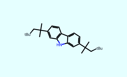 CC(C)(C)CC(C)(C)c1ccc2c(c1)[nH]c1cc(C(C)(C)CC(C)(C)C)ccc12